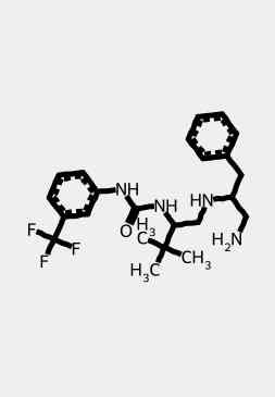 CC(C)(C)C(CNC(CN)Cc1ccccc1)NC(=O)Nc1cccc(C(F)(F)F)c1